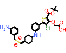 CC(C)(C)OC(=O)c1sc(-c2cccc(NC3CCC(=CS(=O)(=O)Cc4cccc(N)c4)CC3)c2)c(Cl)c1OCC(=O)O